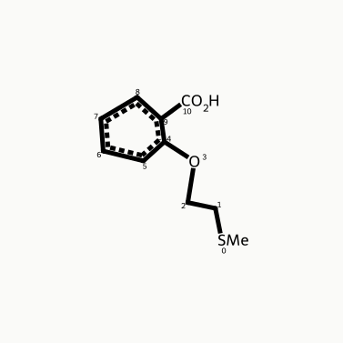 CSCCOc1ccccc1C(=O)O